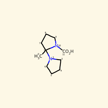 CC1(N2CCCC2)CCCN1C(=O)O